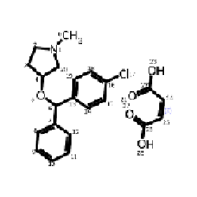 CN1CCC(OC(c2ccccc2)c2ccc(Cl)cc2)C1.O=C(O)/C=C\C(=O)O